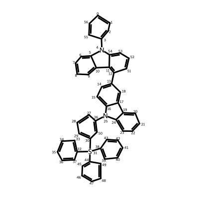 c1ccc(-n2c3ccccc3c3c(-c4ccc5c(c4)c4ccccc4n5-c4cccc(S(c5ccccc5)(c5ccccc5)c5ccccc5)c4)cccc32)cc1